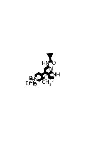 CCS(=O)(=O)N1CC=C(c2cc(NC(=O)C3CC3)nc3[nH]ccc23)C(C)(C)C1